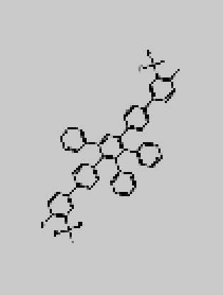 Fc1ccc(-c2ccc(-c3cc(C4=CCCC=C4)c(-c4ccc(-c5ccc(F)c(C(F)(F)F)c5)cc4)c(-c4ccccc4)c3-c3ccccc3)cc2)cc1C(F)(F)F